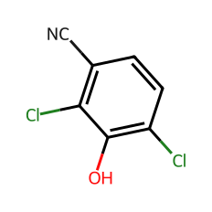 N#Cc1ccc(Cl)c(O)c1Cl